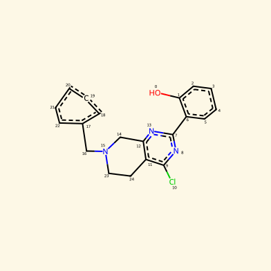 Oc1ccccc1-c1nc(Cl)c2c(n1)CN(Cc1ccccc1)CC2